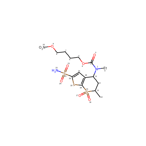 CCN(C(=O)OCCCCO[N+](=O)[O-])C1CC(C)S(=O)(=O)c2sc(S(N)(=O)=O)cc21